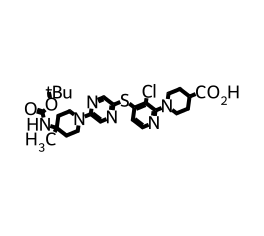 CC1(NC(=O)OC(C)(C)C)CCN(c2cnc(Sc3ccnc(N4CCC(C(=O)O)CC4)c3Cl)cn2)CC1